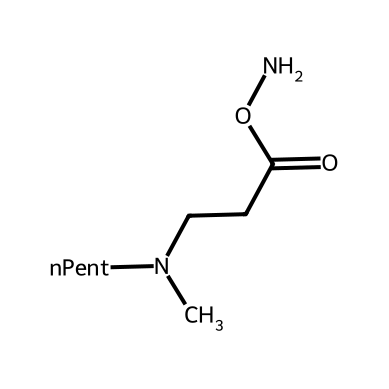 CCCCCN(C)CCC(=O)ON